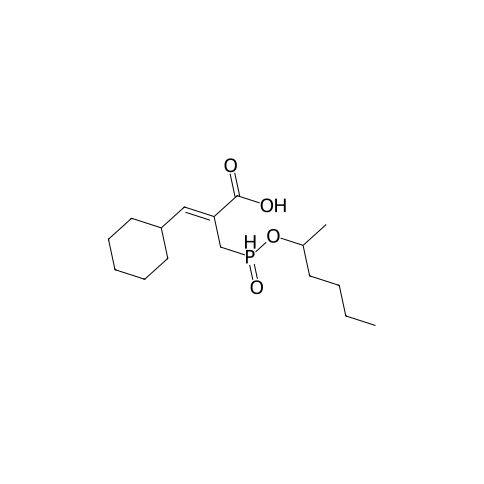 CCCCC(C)O[PH](=O)CC(=CC1CCCCC1)C(=O)O